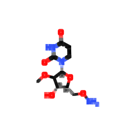 COC1[C@@H](O)[C@@H](CON)O[C@H]1n1ccc(=O)[nH]c1=O